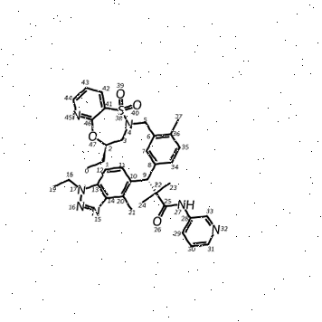 CC[C@@H]1CN(Cc2cc([C@@H](c3ccc4c(nnn4CC)c3C)C(C)(C)C(=O)Nc3cccnc3)ccc2C)S(=O)(=O)c2cccnc2O1